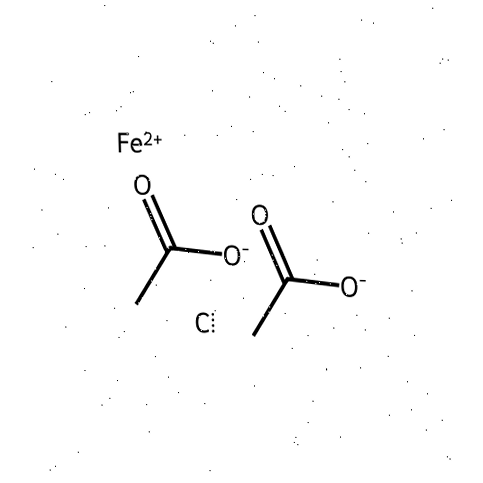 CC(=O)[O-].CC(=O)[O-].[C].[Fe+2]